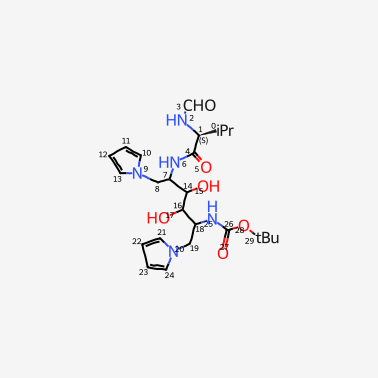 CC(C)[C@H](NC=O)C(=O)NC(Cn1cccc1)C(O)C(O)C(Cn1cccc1)NC(=O)OC(C)(C)C